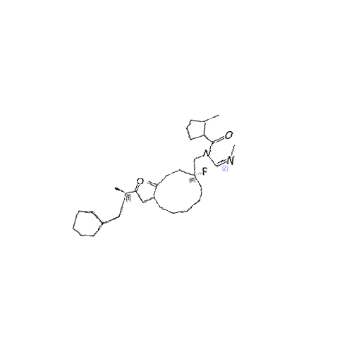 C=C1CC[C@@](F)(CN(/C=N\C)C(=O)C2CCCC2C)CCCCCC1CC(=O)[C@H](C)CC1CCCCC1